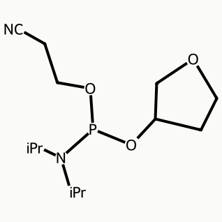 CC(C)N(C(C)C)P(OCCC#N)OC1CCOC1